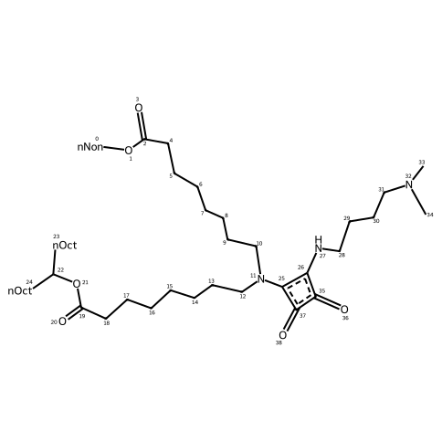 CCCCCCCCCOC(=O)CCCCCCCN(CCCCCCCC(=O)OC(CCCCCCCC)CCCCCCCC)c1c(NCCCCN(C)C)c(=O)c1=O